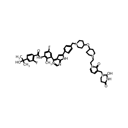 Cc1c(NC(=O)c2ccc(C(C)(C)O)cc2F)cc(F)cc1-c1ncnc2[nH]c(-c3ccc(CN4CCC(OC5CCN(CCn6cccc(CN7CCC(=O)NC7O)c6=O)CC5)CC4)cc3)cc12